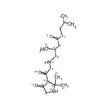 CC(C)COC(=O)CC(O)CNCC(=O)N1C(=O)CNC1(C)C